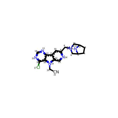 CN1C2CCC1CN(Cc1cc3c4ncnc(Cl)c4n(CC#N)c3cn1)C2